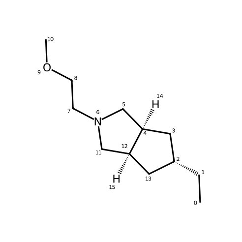 CC[C@H]1C[C@@H]2CN(CCOC)C[C@@H]2C1